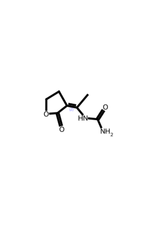 C/C(NC(N)=O)=C1\CCOC1=O